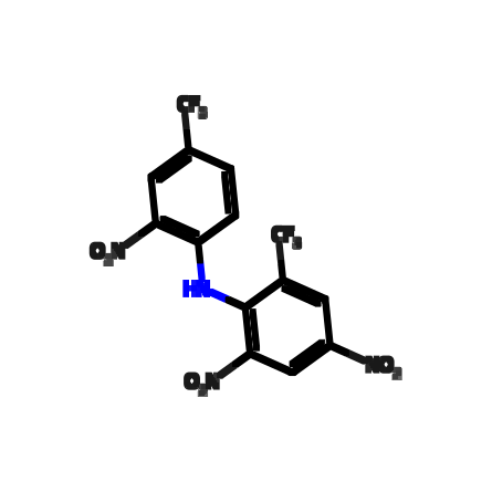 O=[N+]([O-])c1cc([N+](=O)[O-])c(Nc2ccc(C(F)(F)F)cc2[N+](=O)[O-])c(C(F)(F)F)c1